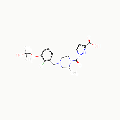 CC1CN(Cc2cccc(OCC(C)(C)O)c2Cl)CCN1C(=O)n1ccc(C(=O)O)n1